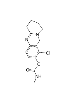 CNC(=O)Oc1ccc2c(c1Cl)CN1CCCCC1=N2